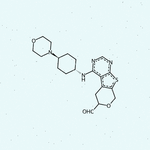 O=CC1Cc2c(sc3ncnc(N[C@H]4CC[C@H](N5CCOCC5)CC4)c23)CO1